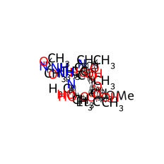 CC[C@H]1OC(=O)[C@H](C)[C@@H](O[C@@H](CCOC)O[C@@H](C)[C@@H](C)O)[C@H](C)[C@@H](O[C@@H]2O[C@H](C)C[C@H](N(C)C)[C@H]2O)[C@](C)(O)C[C@@H](C)CN(CCCNC(=O)Nc2c(C)noc2C)[C@H](C)[C@@H](O)[C@]1(C)O